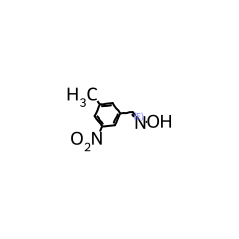 Cc1cc(/C=N/O)cc([N+](=O)[O-])c1